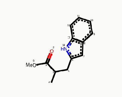 COC(=O)C(C)Cc1cc2ccccc2[nH]1